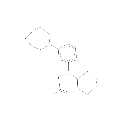 O=C(O)CN(c1nccc(N2CCCCCC2)n1)C1CCCNC1